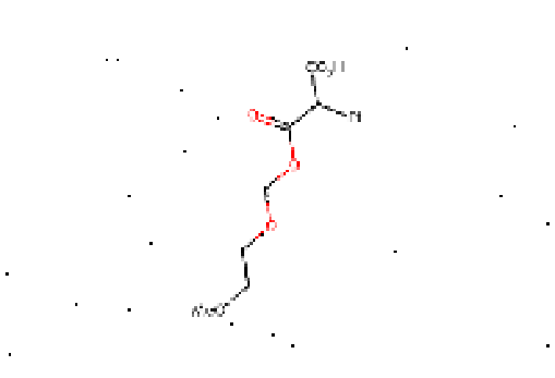 CCC(C(=O)O)C(=O)OCOCCOC